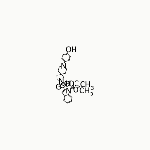 CC(C)(C)OC(=O)n1c(S(=O)(=O)N2CCC3(CCN(c4ccc(O)cc4)CC3)C2)cc2ccccc21